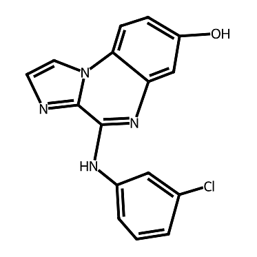 Oc1ccc2c(c1)nc(Nc1cccc(Cl)c1)c1nccn12